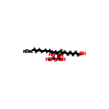 CCCCCCCCCCCCCCCCCCCCCCCCCCCCO.OP(O)OP(O)O